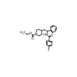 CCOC(=O)N1CCC(CC(NC(=O)c2ccc(F)cc2)c2ccccc2)CC1